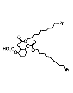 CC(C)CCCCCCCCCOC(=O)OC1CCCC(OC(=O)O)C1OC(=O)OCCCCCCCCCC(C)C